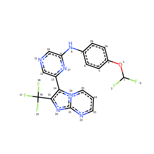 FC(F)Oc1ccc(Nc2cncc(-c3c(C(F)(F)F)nc4ncccn34)n2)cc1